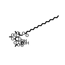 CCCCCCCCCCCCCCCCCC(=O)OCC(F)[C@H]1O[C@@H](OP(=O)(O)O)[C@@H](OC(C)=O)[C@@H](OC(C)=O)[C@@H]1OC(C)=O